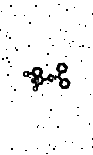 O=[SH](=O)CC(=C1CN(C(c2ccccc2)c2ccccc2)C1)c1cccc(Cl)c1